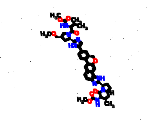 COC[C@H]1C[C@@H](c2ncc(-c3ccc4c(c3)COc3cc5c(ccc6nc([C@@H]7CC[C@@H]8C[C@H](C)[C@H](NC(=O)OC)C(=O)N87)[nH]c65)cc3-4)[nH]2)N(C(=O)[C@@H](NC(=O)OC)C(C)C)C1